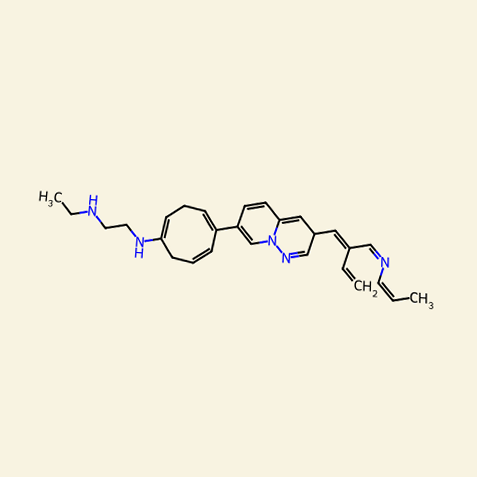 C=CC(/C=N\C=C/C)=C\C1C=NN2C=C(C3=C/C/C=C(/NCCNCC)C/C=C\3)C=CC2=C1